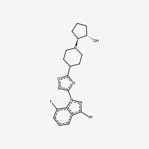 CC(C)c1nn(-c2noc(C3CCN([C@H]4CCC[C@@H]4O)CC3)n2)c2c(F)cccc12